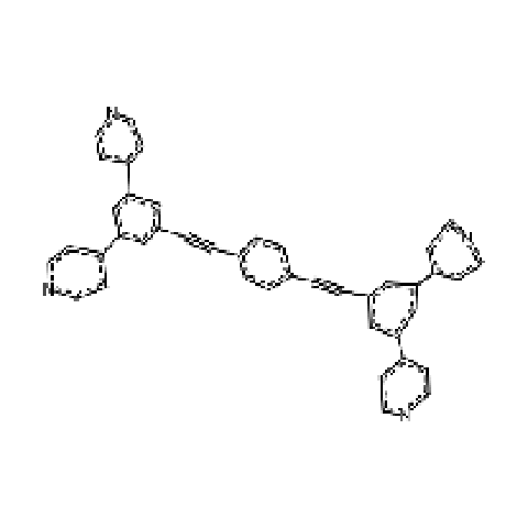 C(#Cc1cc(-c2ccncc2)cc(-c2ccncc2)c1)c1ccc(C#Cc2cc(-c3ccncc3)cc(-c3ccncc3)c2)cc1